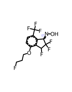 O/N=C1/c2c(C(F)(F)F)ccc(OCCCF)c2C(F)C1(F)F